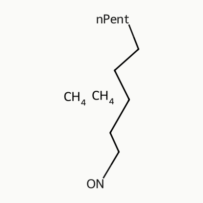 C.C.CCCCCCCCCCN=O